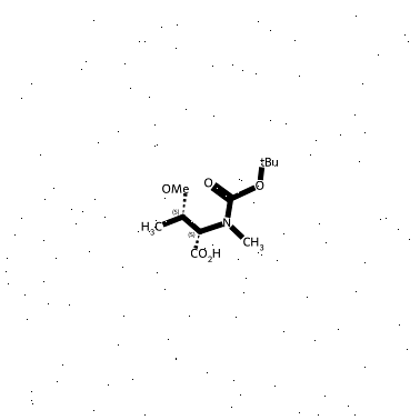 CO[C@@H](C)[C@@H](C(=O)O)N(C)C(=O)OC(C)(C)C